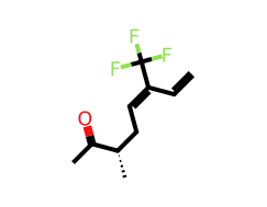 C=C/C(=C\C[C@H](C)C(C)=O)C(F)(F)F